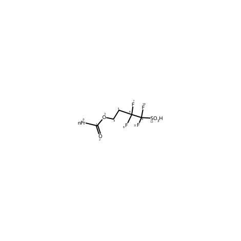 CCCC(=O)OCCC(F)(F)C(F)(F)S(=O)(=O)O